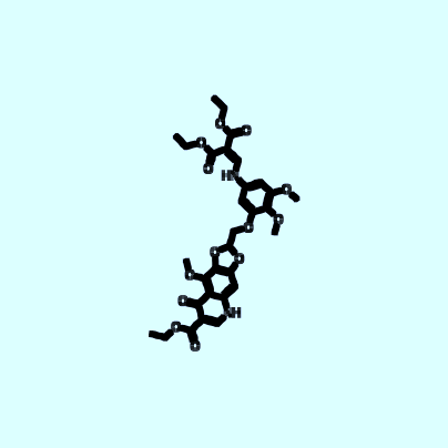 CCOC(=O)C(=CNc1cc(OC)c(OC)c(OCC2Oc3cc4[nH]cc(C(=O)OCC)c(=O)c4c(OC)c3O2)c1)C(=O)OCC